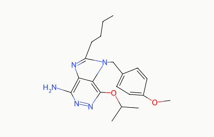 CCCCc1nc2c(N)nnc(OC(C)C)c2n1Cc1ccc(OC)cc1